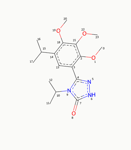 COc1c(-c2n[nH]c(=O)n2C(C)C)cc(C(C)C)c(OC)c1OC